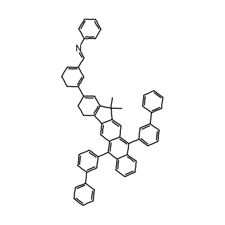 CC1(C)C2=C(CCC(C3=CC(/C=N/c4ccccc4)=CCC3)=C2)c2cc3c(-c4cccc(-c5ccccc5)c4)c4ccccc4c(-c4cccc(-c5ccccc5)c4)c3cc21